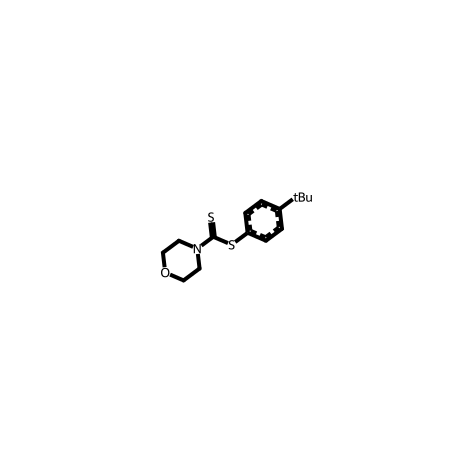 CC(C)(C)c1ccc(SC(=S)N2CCOCC2)cc1